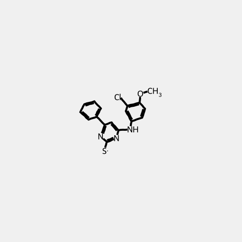 COc1ccc(Nc2cc(-c3ccccc3)nc([S])n2)cc1Cl